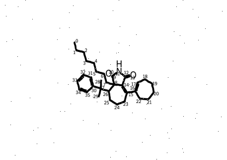 CCCCCCCCC12C(=O)NC(=O)C1=C(C1=CCCCCC1)CCCC2C(C)(C)c1ccccc1